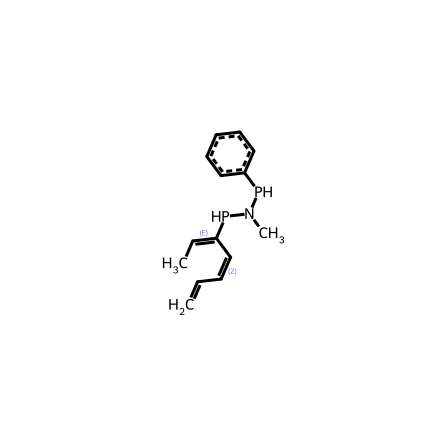 C=C/C=C\C(=C/C)PN(C)Pc1ccccc1